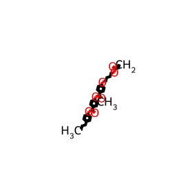 C=CC(=O)OCCCCOc1ccc(C(=O)Oc2ccc(C(=O)Oc3ccc(CCCC)cc3)cc2C)cc1